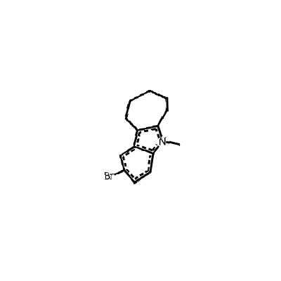 Cn1c2c(c3cc(Br)ccc31)CCCCC2